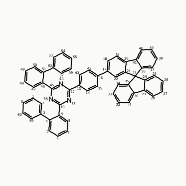 c1ccc(-c2ccccc2-c2nc(-c3ccc(-c4ccc5c(c4)C4(c6ccccc6-c6ccccc64)c4ccccc4-5)cc3)nc(-c3ccccc3-c3ccccc3)n2)cc1